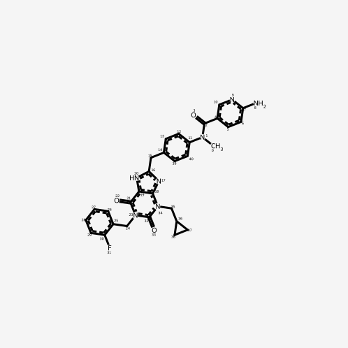 CN(C(=O)c1ccc(N)nc1)c1ccc(Cc2nc3c([nH]2)c(=O)n(Cc2ccccc2F)c(=O)n3CC2CC2)cc1